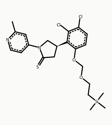 Cc1cc(N2C[C@@H](c3c(OCOCC[Si](C)(C)C)ccc(Cl)c3Cl)CC2=S)ccn1